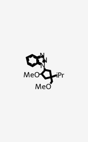 COCC1(C(C)C)CC(n2nnc3ccccc32)[C@H](OC)C1